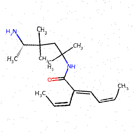 C\C=C/C=C(\C=C/C)C(=O)NC(C)(C)CC(C)(C)[C@H](C)N